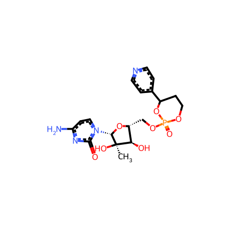 C[C@@]1(O)[C@H](O)[C@@H](COP2(=O)OCCC(c3ccncc3)O2)O[C@H]1n1ccc(N)nc1=O